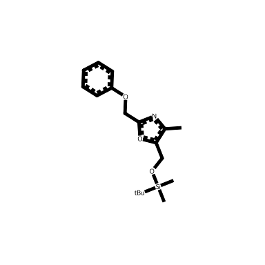 Cc1nc(COc2ccccc2)oc1CO[Si](C)(C)C(C)(C)C